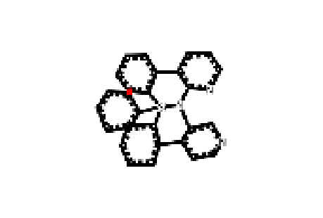 c1ccc([Si]23c4ccccc4-c4ccncc4N2c2ncccc2-c2ccccc23)cc1